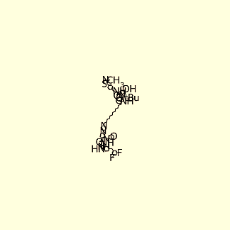 Cc1ncsc1-c1ccc(CNC(=O)[C@@H]2C[C@@H](O)CN2C(=O)[C@@H](NC(=O)CCCCCCCCCCCCN2CCN(c3ccc(C(=O)Nc4n[nH]c5ccc(Cc6cc(F)cc(F)c6)cc45)c(NC4CCOCC4)c3)CC2)C(C)(C)C)cc1